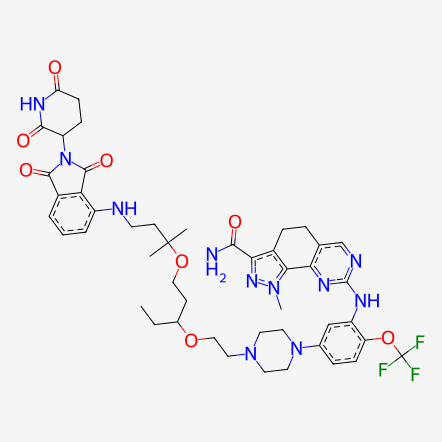 CCC(CCOC(C)(C)CCNc1cccc2c1C(=O)N(C1CCC(=O)NC1=O)C2=O)OCCN1CCN(c2ccc(OC(F)(F)F)c(Nc3ncc4c(n3)-c3c(c(C(N)=O)nn3C)CC4)c2)CC1